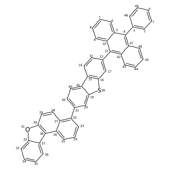 c1ccc(-c2c3ccccc3c(-c3ccc4c(c3)sc3cc(-c5cccc6c5ccc5oc7ccccc7c56)ccc34)c3ccccc23)cc1